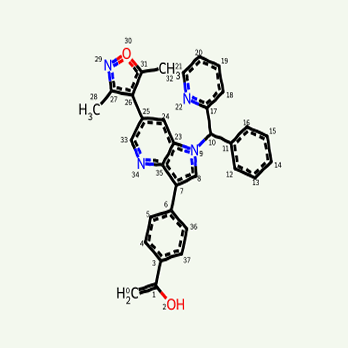 C=C(O)c1ccc(-c2cn(C(c3ccccc3)c3ccccn3)c3cc(-c4c(C)noc4C)cnc23)cc1